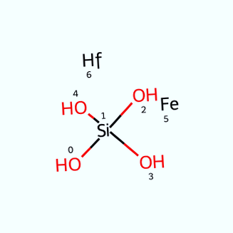 O[Si](O)(O)O.[Fe].[Hf]